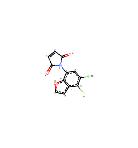 O=C1C=CC(=O)N1c1cc(F)c(F)c2ccoc12